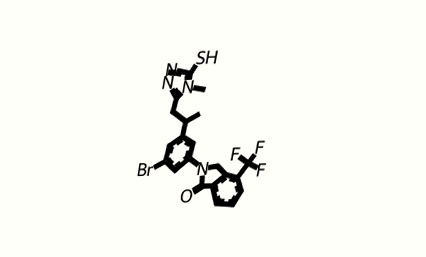 CC(Cc1nnc(S)n1C)c1cc(Br)cc(N2Cc3c(cccc3C(F)(F)F)C2=O)c1